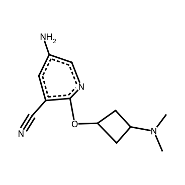 CN(C)C1CC(Oc2ncc(N)cc2C#N)C1